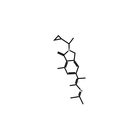 C=C1c2c(C)cc(/C(C)=C(\C)N=C(C)C)cc2CN1C(C)C1CC1